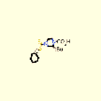 CC(C)(C)C1CN(C(=S)SCC2CCCCC2)CCN1C(=O)O